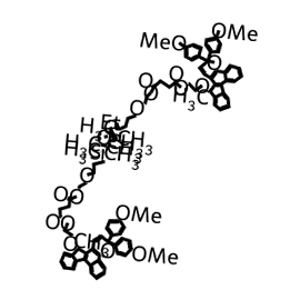 CCC(C)(CCCOCCOC(=O)CCC(=O)OCCOC1(C)c2ccccc2-c2c1c1c(c3ccccc23)OC(c2ccc(OC)cc2)(c2ccc(OC)cc2)C=C1)[Si](C)(C)OC(C)(C)[Si](C)(C)CCCOCCOC(=O)CCC(=O)OCCOC1(C)c2ccccc2-c2c1c1c(c3ccccc23)OC(c2ccc(OC)cc2)(c2ccc(OC)cc2)C=C1